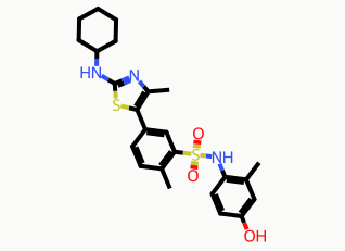 Cc1cc(O)ccc1NS(=O)(=O)c1cc(-c2sc(NC3CCCCC3)nc2C)ccc1C